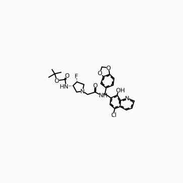 CC(C)(C)OC(=O)N[C@H]1CN(CC(=O)NC(c2ccc3c(c2)OCO3)c2cc(Cl)c3cccnc3c2O)C[C@H]1F